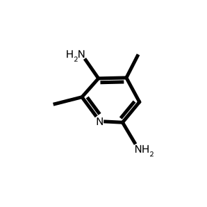 Cc1cc(N)nc(C)c1N